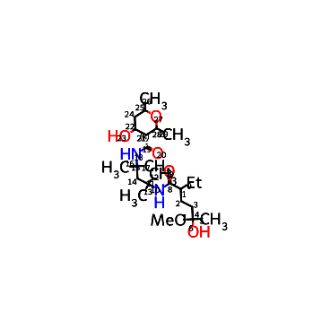 CCC(CCC(C)(O)OC)C(=O)NC(C)(C)CC(C)(C)NC(=O)[C@@H]1C(O)CC(C)OC1C